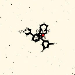 Cn1cc(-c2cccc(C(=O)N3[C@H]4CCC[C@@H]3c3nn(C)c(-c5cc(F)cc(F)c5)c3C4)c2)cn1